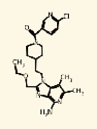 CCOCc1nc2c(N)nc(C)c(C)c2n1CCC1CCN(C(=O)c2ccc(Cl)nc2)CC1